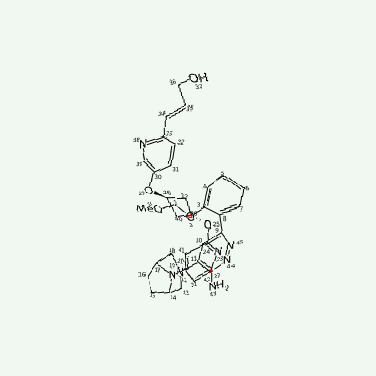 COCOc1ccccc1-c1cc(N2CC3CCC(C2)N3c2ccnc(O[C@H]3C[C@H](Oc4ccc(C=CCO)nc4)C3)c2)c(N)nn1